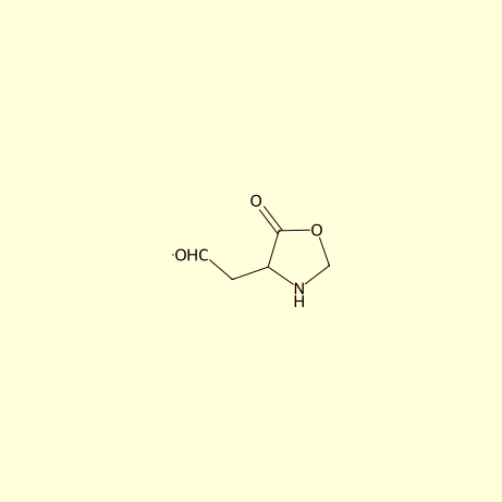 O=[C]CC1NCOC1=O